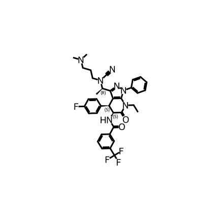 CCN1C(=O)[C@@H](NC(=O)c2cccc(C(F)(F)F)c2)[C@@H](c2ccc(F)cc2)c2c([C@@H](C)N(C#N)CCCN(C)C)nn(-c3ccccc3)c21